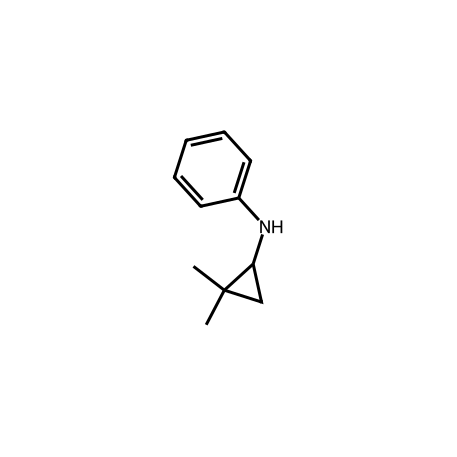 CC1(C)CC1Nc1ccccc1